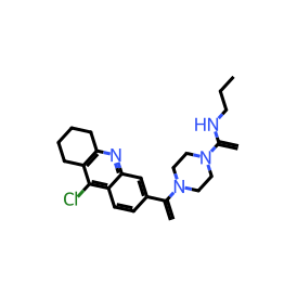 C=C(NCCC)N1CCN(C(=C)c2ccc3c(Cl)c4c(nc3c2)CCCC4)CC1